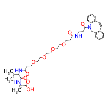 CC(C)C(NC(=O)CCOCCOCCOCCOCCC(=O)NCCC(=O)N1Cc2ccccc2C#Cc2ccccc21)C(=O)N[C@@H](C)C(=O)O